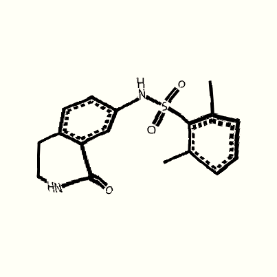 Cc1cccc(C)c1S(=O)(=O)Nc1ccc2c(c1)C(=O)NCC2